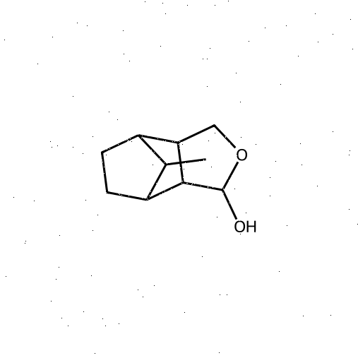 CC1C2CCC1C1C(O)OCC21